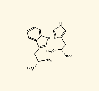 CN[C@@H](Cc1c[nH]cn1)C(=O)O.N[C@@H](Cc1c[nH]c2ccccc12)C(=O)O